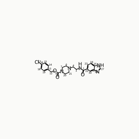 O=C(NCCN1CCN(C(=O)OCc2ccc(Cl)cc2)CC1)c1ccc2[nH]cnc2c1